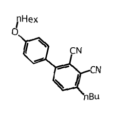 CCCCCCOc1ccc(-c2ccc(CCCC)c(C#N)c2C#N)cc1